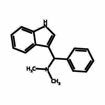 CN(C)C(c1ccccc1)c1c[nH]c2ccccc12